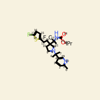 Cc1ccc(C(C)(C)N2CCC(CCc3ccc(F)s3)(C(C)(NC(=O)OC(C)C)C(F)(F)F)C2)cn1